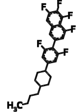 CCCCC1CCC(c2cc(F)c(-c3cc(F)c4c(F)c(F)c(F)cc4c3)c(F)c2)CC1